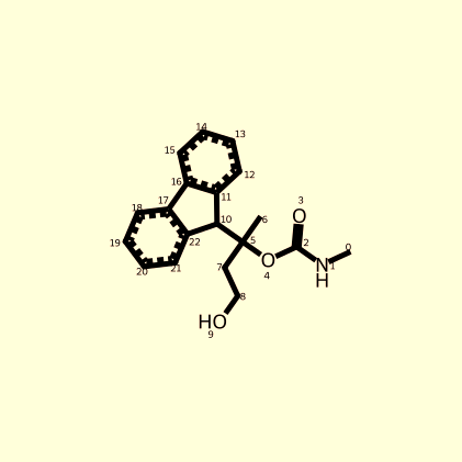 CNC(=O)OC(C)(CCO)C1c2ccccc2-c2ccccc21